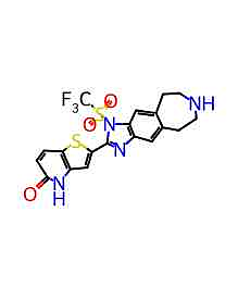 O=c1ccc2sc(-c3nc4cc5c(cc4n3S(=O)(=O)C(F)(F)F)CCNCC5)cc2[nH]1